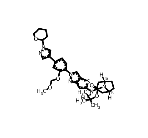 COCOc1cc(-c2cnn(C3CCCCO3)c2)ccc1-n1cc2sc(N(C)C3C[C@H]4CC[C@@H](C3)N4C(=O)OC(C)(C)C)cc2n1